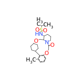 Cc1cccc2c1C1CCC(CC1)OCC1C(NS(=O)(=O)C(C)C)CCCN1C(=O)CO2